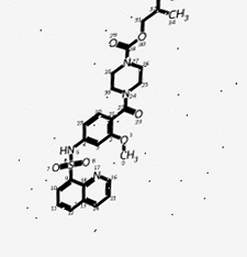 COc1cc(NS(=O)(=O)c2cccc3cccnc23)ccc1C(=O)N1CCN(C(=O)OCC(C)C)CC1